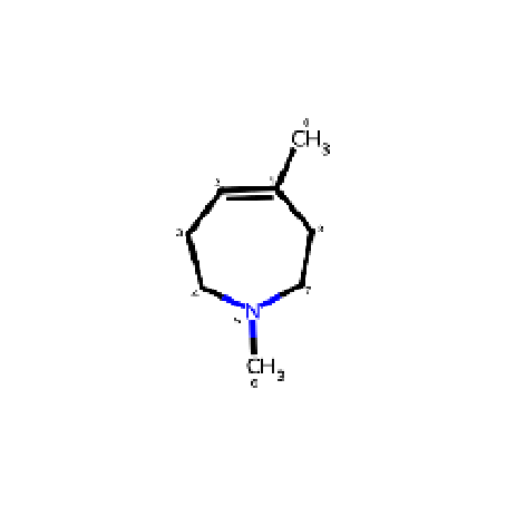 CC1=CCCN(C)CC1